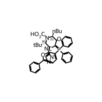 CCCC[C@@H](C(=O)C(C#N)=P(c1ccccc1)(c1ccccc1)c1ccccc1)N(C(=O)O)[C@H](Cc1nnc(-c2ccccc2)o1)C(C)(C)C